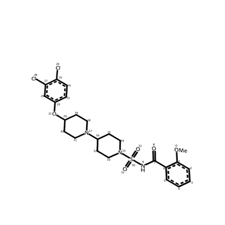 COc1ccccc1C(=O)NS(=O)(=O)N1CCC(N2CCC(Oc3ccc(Cl)c(Cl)c3)CC2)CC1